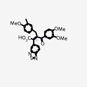 COc1ccc(C/C(C(=O)c2ccc(OC)c(OC)c2)=C(\C(=O)O)c2ccc3nsnc3c2)cc1C